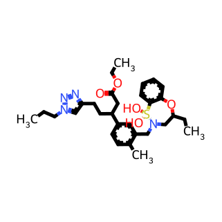 CCCn1cc(CCC(CC(=O)OCC)c2ccc(C)c(CN3CC(CC)Oc4ccccc4S3(O)O)c2)nn1